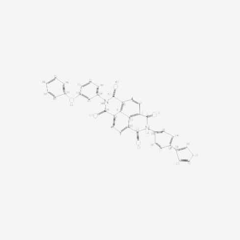 O=C1c2ccc3c4c(ccc(c24)C(=O)N1c1ccc(C2=CCC=C2)cc1)C(=O)N(c1cccc(Oc2ccccc2)c1)C3=O